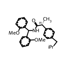 COc1ccccc1C(NC(=O)[C@H](C)c1ccc(CC(C)C)cc1)c1ccccc1OC